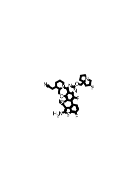 N#CCC1CCCN2c3nc(OCC45CCCN4C[C@H](F)C5)nc4c(F)c(-c5ccc(F)c6sc(N)c(C#N)c56)c(Cl)c(c34)OCC12